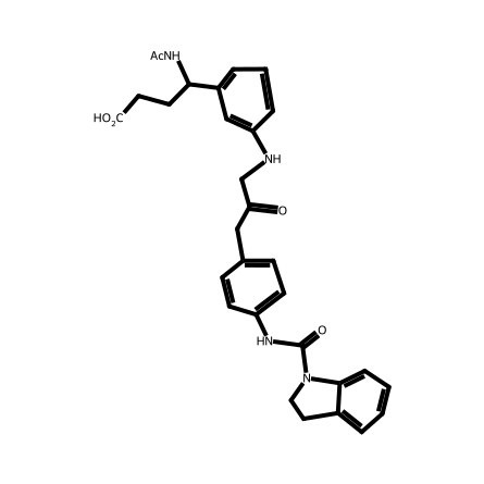 CC(=O)NC(CCC(=O)O)c1cccc(NCC(=O)Cc2ccc(NC(=O)N3CCc4ccccc43)cc2)c1